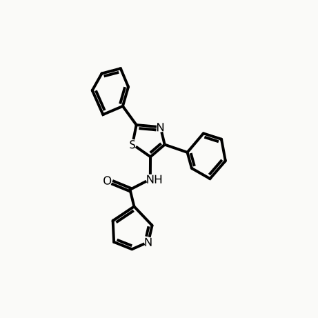 O=C(Nc1sc(-c2ccccc2)nc1-c1ccccc1)c1cccnc1